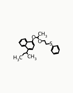 CCC(C)c1ccc(OC(C)OCCSc2ccccc2)c2ccccc12